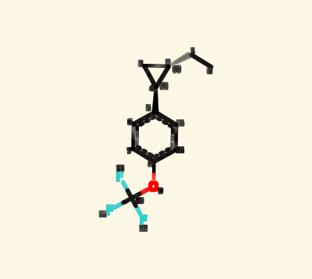 CC[C@H]1C[C@@H]1c1ccc(OC(F)(F)F)cc1